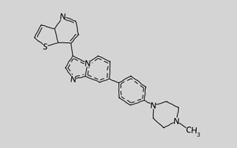 CN1CCN(c2ccc(-c3ccn4c(C5=CC=NC6C=CSC56)cnc4c3)cc2)CC1